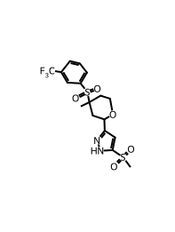 CC1(S(=O)(=O)c2cccc(C(F)(F)F)c2)CCOC(c2cc(S(C)(=O)=O)[nH]n2)C1